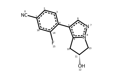 N#Cc1ccc(-c2cnn3c2C[C@@H](O)C3)c(F)c1